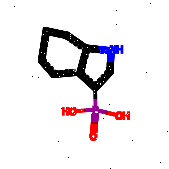 O=P(O)(O)c1c[nH]c2ccccc12